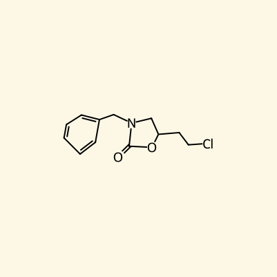 O=C1OC(CCCl)CN1Cc1ccccc1